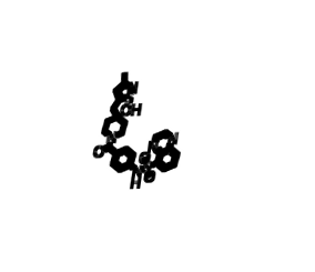 Cc1cc(CC2(O)CCN(C(=O)c3ccc(NS(=O)(=O)c4cccc5nccnc45)cc3)CC2)sn1